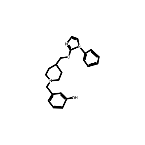 Oc1cccc(CN2CCC(COc3nccn3-c3ccccc3)CC2)c1